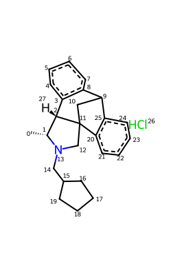 C[C@@H]1[C@@H]2c3ccccc3C3CC2(CN1CC1CCCC1)c1ccccc13.Cl